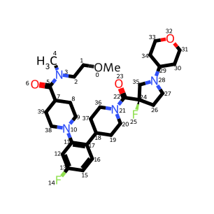 COCCN(C)C(=O)C1CCN(c2cc(F)ccc2C2CCN(C(=O)[C@@]3(F)CCN(C4CCOCC4)C3)CC2)CC1